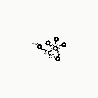 CCCCC[C@@H](O)[C@@H](O)[C@H](COC1OC(COCc2ccccc2)C(OCc2ccccc2)C(OCc2ccccc2)C1OCc1ccccc1)NC(=O)CCc1ccc(OC)cc1